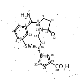 CSc1cccc(C(N)[C@H]2CCC(=O)N2CCSc2nc(C(=O)O)cs2)c1